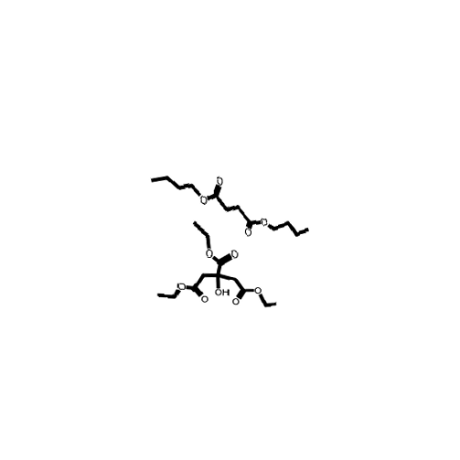 CCCCOC(=O)CCC(=O)OCCCC.CCOC(=O)CC(O)(CC(=O)OCC)C(=O)OCC